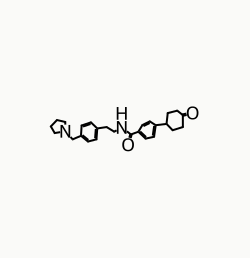 O=C1CCC(c2ccc(C(=O)NCCc3ccc(CN4CCCC4)cc3)cc2)CC1